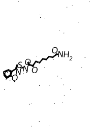 COc1ccccc1-c1csc(N(C)C(=O)C(=O)CCCCCCC(N)=O)n1